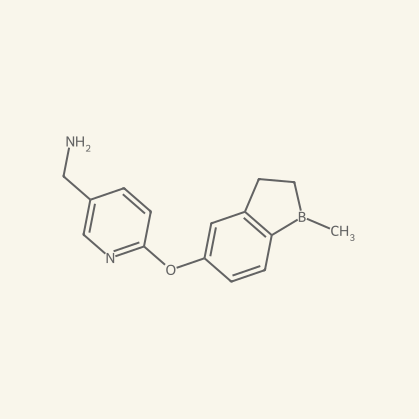 CB1CCc2cc(Oc3ccc(CN)cn3)ccc21